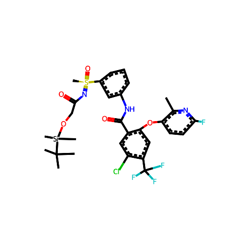 Cc1nc(F)ccc1Oc1cc(C(F)(F)F)c(Cl)cc1C(=O)Nc1cccc([S@@](C)(=O)=NC(=O)CO[Si](C)(C)C(C)(C)C)c1